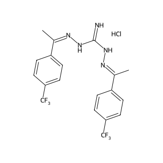 CC(=NNC(=N)NN=C(C)c1ccc(C(F)(F)F)cc1)c1ccc(C(F)(F)F)cc1.Cl